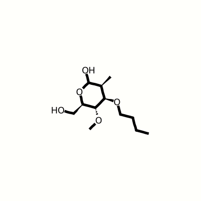 CCCCO[C@H]1[C@H](OC)[C@@H](CO)OC(O)[C@H]1C